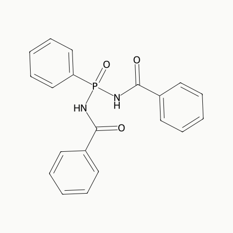 O=C(NP(=O)(NC(=O)c1ccccc1)c1ccccc1)c1ccccc1